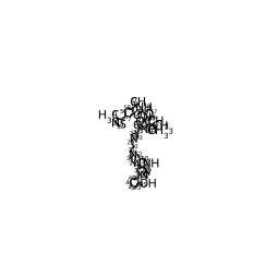 Cc1ncsc1-c1ccc(C(C)NC(=O)C2CCCN2C(=O)C(NC(=O)C2CN(CCCN3CCN4c5cc(-c6ccccc6O)nnc5NCC4C3)C2)C(C)(C)C)cc1